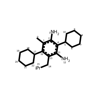 Cc1c(N)c(C2CCCCC2)c(N)c(CC(C)C)c1C1CCCCC1